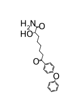 NC(=O)C(O)CCCCCC(=O)c1ccc(Oc2ccccc2)cc1